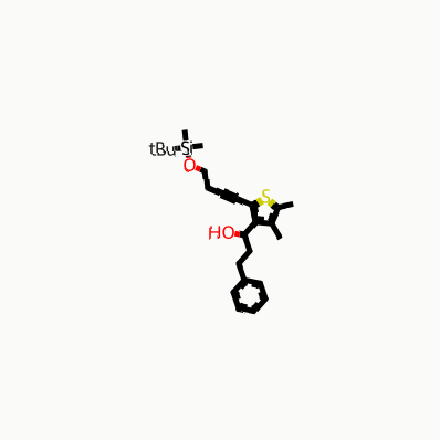 Cc1sc(C#CCCO[Si](C)(C)C(C)(C)C)c(C(O)CCc2ccccc2)c1C